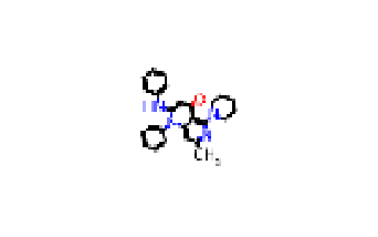 Cc1cc2c(c(N3CCCCC3)n1)c(=O)cc(Nc1ccccc1)n2-c1ccccc1